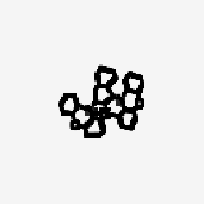 c1ccc2c(c1)Oc1cccc3c1N2c1cc2ccccc2c2c1[SH]3c1cccc3c1N2c1ccccc1O3